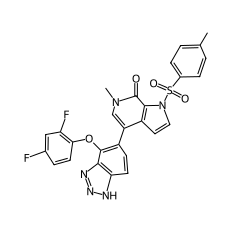 Cc1ccc(S(=O)(=O)n2ccc3c(-c4ccc5[nH]nnc5c4Oc4ccc(F)cc4F)cn(C)c(=O)c32)cc1